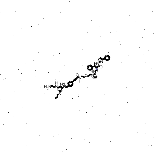 CCCSc1nc(NCCN)c2nnn(Cc3ccc(C#CC(=O)NCCOCCN4C=CSC4N/N=C4/C(=O)N(c5nc(-c6ccccc6)cs5)N=C4c4ccccc4)cc3)c2n1